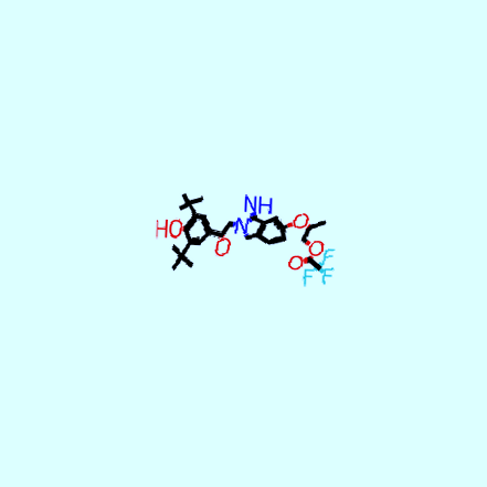 CC(COC(=O)C(F)(F)F)Oc1ccc2c(c1)C(=N)N(CC(=O)c1cc(C(C)(C)C)c(O)c(C(C)(C)C)c1)C2